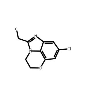 ClCc1nc2cc(Cl)cc3c2n1CCO3